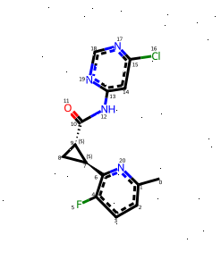 Cc1ccc(F)c([C@H]2C[C@@H]2C(=O)Nc2cc(Cl)ncn2)n1